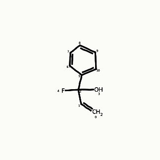 C=CC(O)(F)c1[c]cccc1